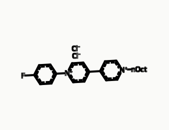 CCCCCCCC[n+]1ccc(-c2cc[n+](-c3ccc(F)cc3)cc2)cc1.[Cl-].[Cl-]